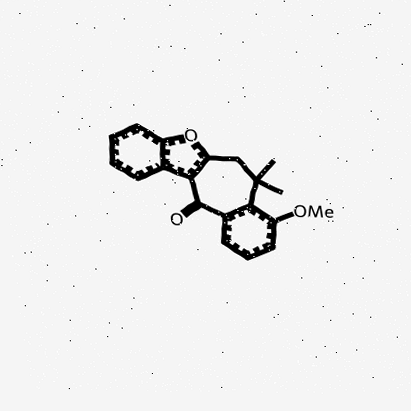 COc1cccc2c1C(C)(C)Cc1oc3ccccc3c1C2=O